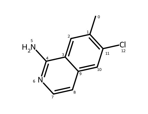 Cc1cc2c(N)nccc2cc1Cl